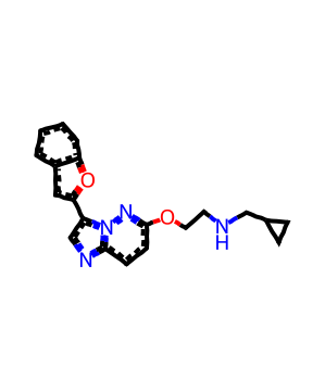 c1ccc2oc(-c3cnc4ccc(OCCNCC5CC5)nn34)cc2c1